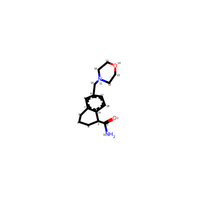 NC(=O)C1[C]CCc2cc(CN3CCOCC3)ccc21